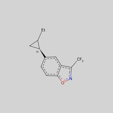 CCC1C[C@@H]1c1ccc2onc(C(F)(F)F)c2c1